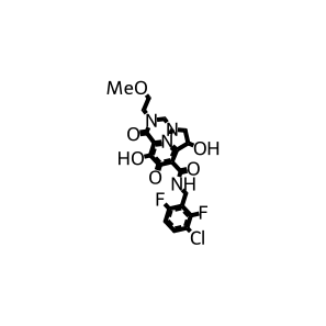 COCCN1CN2CC(O)c3c(C(=O)NCc4c(F)ccc(Cl)c4F)c(=O)c(O)c(n32)C1=O